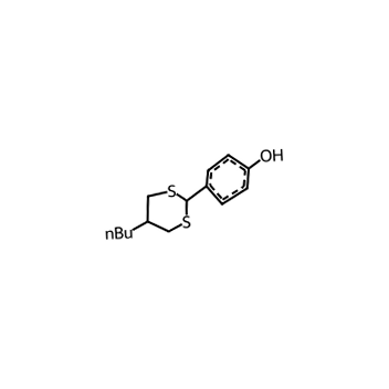 CCCCC1CSC(c2ccc(O)cc2)SC1